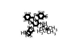 CC(C)(C)OC(=O)N[C@H]1C[C@@H](N2Cc3cn[nH]c3C2)C(=O)N(Cc2ccccc2)[C@@H]1c1cc(F)ccc1F